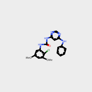 COc1cc(NC(=O)Nc2cc(Nc3ccccc3)ncn2)c(Cl)c(OC)c1